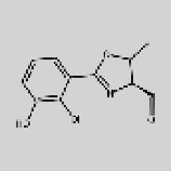 CC1OC(c2cccc(O)c2O)=N[C@@H]1C=O